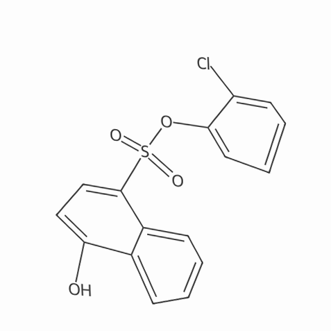 O=S(=O)(Oc1ccccc1Cl)c1ccc(O)c2ccccc12